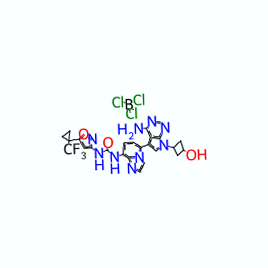 ClB(Cl)Cl.Nc1ncnc2c1c(-c1ccc(NC(=O)Nc3cc(C4(C(F)(F)F)CC4)on3)c3nccn13)cn2C1CC(O)C1